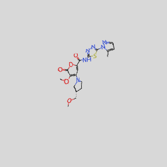 COC[C@H]1CCN(c2cc(C(=O)Nc3nnc(-n4nccc4C)s3)oc(=O)c2OC)C1